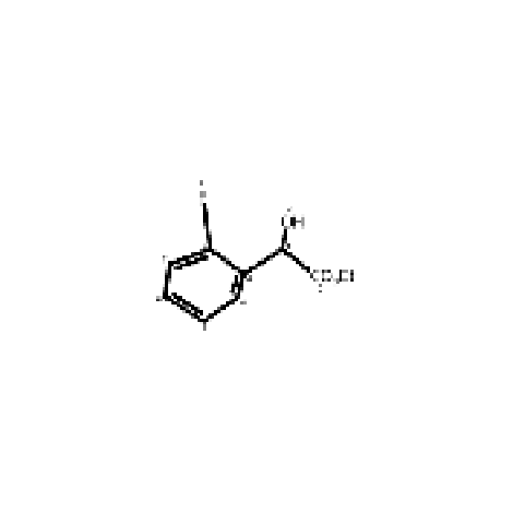 CCOC(=O)C(O)c1ccccc1F